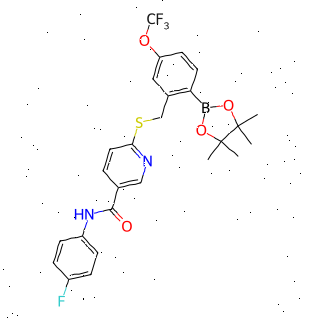 CC1(C)OB(c2ccc(OC(F)(F)F)cc2CSc2ccc(C(=O)Nc3ccc(F)cc3)cn2)OC1(C)C